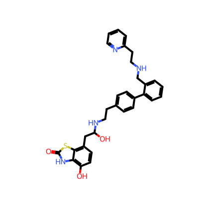 O=c1[nH]c2c(O)ccc(CC(O)NCCc3ccc(-c4ccccc4CNCCc4ccccn4)cc3)c2s1